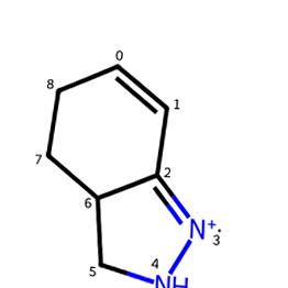 C1=CC2=[N+]NCC2CC1